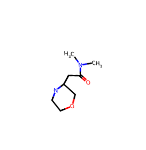 CN(C)C(=O)CC1COCC[N]1